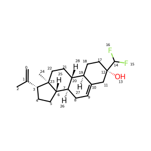 C=C(C)[C@H]1CC[C@H]2[C@@H]3CC=C4C[C@](O)(C(F)F)CC[C@@H]4[C@H]3CC[C@]12C